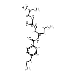 CCCc1ccc(C(=O)OC(CCC)COC(=O)OCC(C)C)cc1